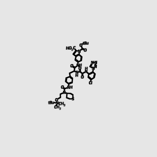 CC(C)(C)OC(=O)n1c(C(=O)O)cc2cc(NC(=O)C(Cc3ccc(NC(=O)N(CCO[Si](C)(C)C(C)(C)C)C4CCSCC4)cc3)NC(=O)C(=O)Nc3cc(Cl)ccc3-n3cnnn3)ccc21